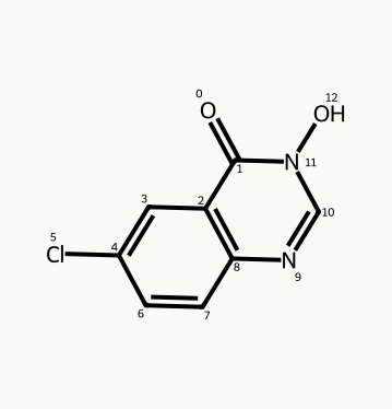 O=c1c2cc(Cl)ccc2ncn1O